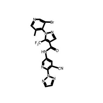 Cc1cncc(Br)c1-n1ncc(C(=O)Nc2cnc(-n3nccn3)c(C#N)c2)c1C(F)(F)F